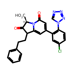 O=C(O)[C@@H]1C(=O)C(CCc2ccccc2)c2cc(-c3cc(Cl)ccc3-n3cnnn3)cc(=O)n21